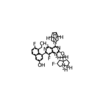 [2H]C1([2H])CC[C@@]2(C([2H])([2H])Oc3nc(N4C[C@H]5CC[C@@H](C4)N5)c4cnc(-c5cc(O)cc6ccc(F)c(CC)c56)c(F)c4n3)C[C@@H](F)CN12